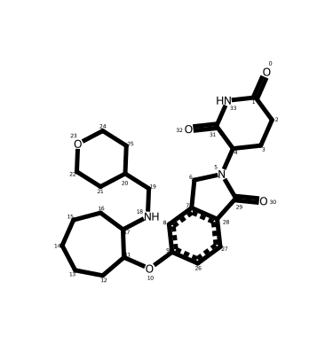 O=C1CCC(N2Cc3cc(OC4CCCCCC4NCC4CCOCC4)ccc3C2=O)C(=O)N1